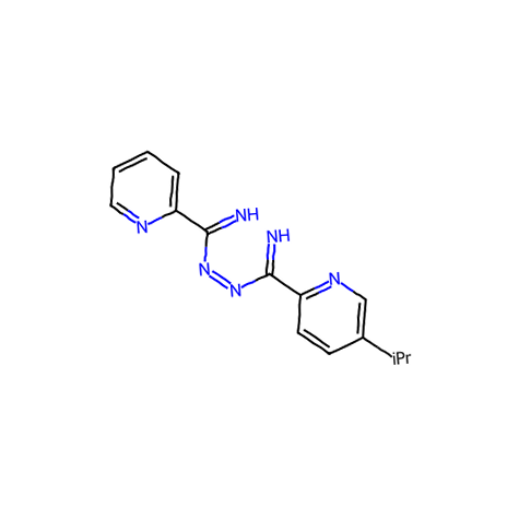 CC(C)c1ccc(C(=N)/N=N\C(=N)c2ccccn2)nc1